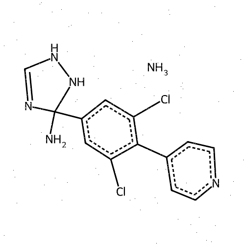 N.NC1(c2cc(Cl)c(-c3ccncc3)c(Cl)c2)N=CNN1